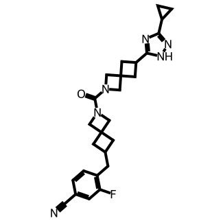 N#Cc1ccc(CC2CC3(C2)CN(C(=O)N2CC4(CC(c5nc(C6CC6)n[nH]5)C4)C2)C3)c(F)c1